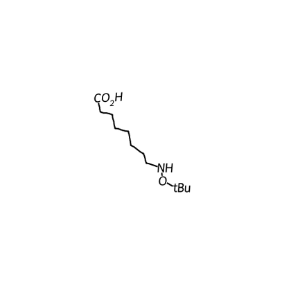 CC(C)(C)ONCCCCCCCC(=O)O